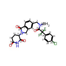 BN(Cc1ccc2c(c1)CN(C1CCC(=O)NC1=O)C2=O)C(=O)C(F)(F)c1ccc(Cl)cc1